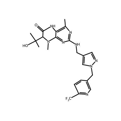 Cc1nc(NCc2cnn(Cc3ccc(C(F)(F)F)nc3)c2)nc2c1NC(=O)C(C(C)(C)O)N2C